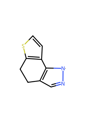 C1=N[N]C2=C1CCc1sccc12